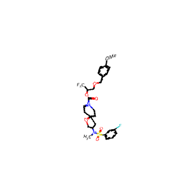 COc1ccc(COCC(OC(=O)N2CCC3(CC2)CC(N(C)S(=O)(=O)c2cccc(F)c2)CO3)C(F)(F)F)cc1